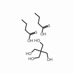 CCCC(O)=S.CCCC(O)=S.OCC(CO)(CO)CO